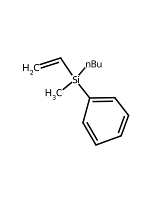 C=C[Si](C)(CCCC)c1ccccc1